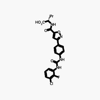 CC(C)[C@H](NC(=O)c1cc(-c2ccc(NC(=O)Nc3cccc(Cl)c3F)cc2)no1)C(=O)O